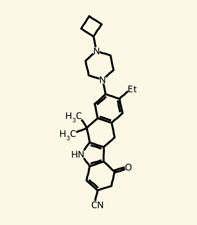 CCc1cc2c(cc1N1CCN(C3CCC3)CC1)C(C)(C)c1[nH]c3c(c1C2)C(=O)CC(C#N)=C3